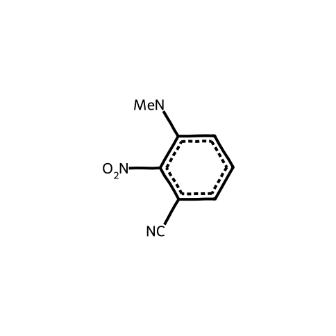 CNc1cccc(C#N)c1[N+](=O)[O-]